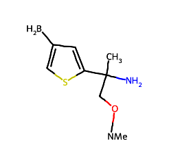 Bc1csc(C(C)(N)CONC)c1